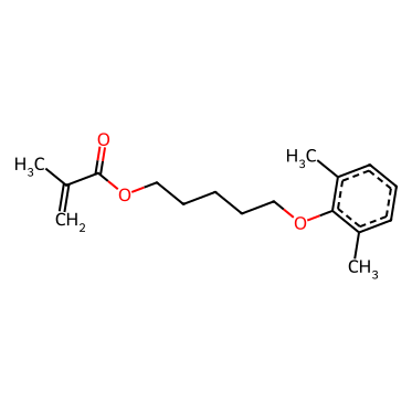 C=C(C)C(=O)OCCCCCOc1c(C)cccc1C